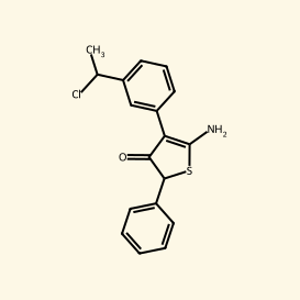 CC(Cl)c1cccc(C2=C(N)SC(c3ccccc3)C2=O)c1